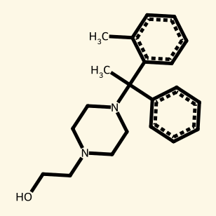 Cc1ccccc1C(C)(c1ccccc1)N1CCN(CCO)CC1